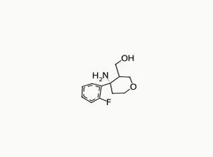 N[C@@]1(c2ccccc2F)CCOCC1CO